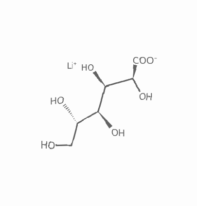 O=C([O-])[C@@H](O)[C@H](O)[C@@H](O)[C@@H](O)CO.[Li+]